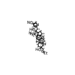 CCOC[C@@]1(O)CC[C@H]2[C@H](CC[C@@H]3[C@@H]2CC[C@]2(C)[C@@H](C(C)(O)Cn4cc(C#N)cn4)CC[C@@H]32)C1